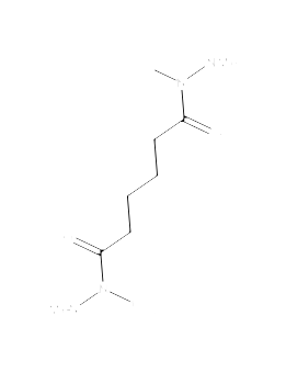 CNN(C)C(=O)CCCCC(=O)N(C)NC